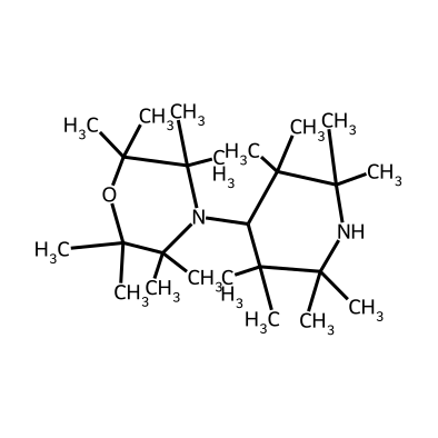 CC1(C)NC(C)(C)C(C)(C)C(N2C(C)(C)C(C)(C)OC(C)(C)C2(C)C)C1(C)C